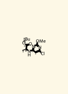 COc1nc(Cl)cc(N[C@@H](C)C(=O)OC(C)(C)C)n1